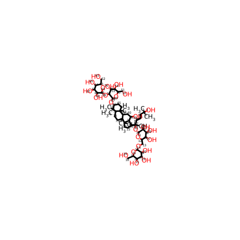 CC(C)(O)C/C=C/C(C)(OC1OC(COC2OC(CO)C(O)C(O)C2O)C(O)C(O)C1O)C1CCC2(C)C1C(O)CC1C3(C)CCC(OC4OC(CO)C(O)C(O)C4OC4OC(CO)C(O)C(O)C4O)C(C)(C)C3CCC12C